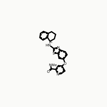 CNC(=O)c1cc(Oc2ccc3nc(N[C@H]4CCCc5ccccc54)sc3c2)ccn1